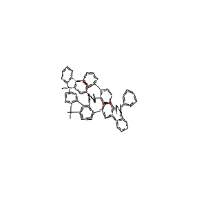 CC1(C)c2ccccc2-c2ccc(N(c3ccccc3-c3ccccc3)c3c(-c4ccc5c(c4)c4ccccc4n5-c4ccccc4)ccc4c3-c3ccccc3C4(C)C)cc21